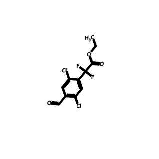 CCOC(=O)C(F)(F)c1cc(Cl)c(C=O)cc1Cl